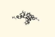 COc1cccc(-c2csc3c(OC)nc(-c4ccccn4)nc23)n1